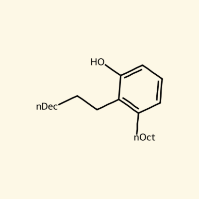 CCCCCCCCCCCCc1c(O)cccc1CCCCCCCC